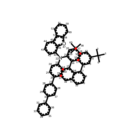 CC(C)(C)c1cc(-c2cccc3cccc(-c4ccccc4N(c4ccc(-c5ccc(-c6ccccc6)cc5)cc4)c4cccc5c4oc4ccccc45)c23)cc(C(C)(C)C)c1